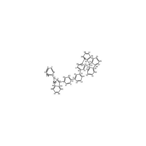 c1ccc(C2c3c(-c4ccc(-c5cccc(-c6ccc7c(c6)C6(c8ccccc8-c8ccccc86)c6ccccc6-7)c5)cc4)c4ccccc4n32)nc#1